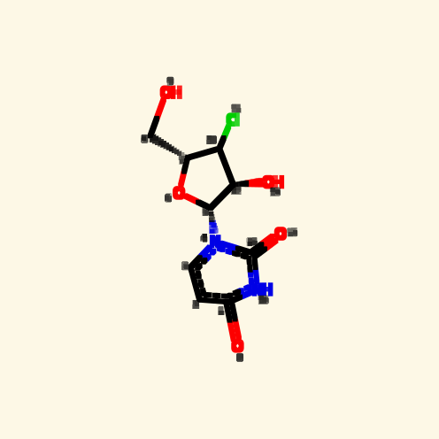 O=c1ccn([C@@H]2O[C@H](CO)C(Cl)[C@H]2O)c(=O)[nH]1